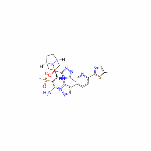 Cc1nnc(C(=O)N2[C@@H]3CC[C@H]2C[C@@H](c2nc4c(-c5ccc(-c6ncc(C)s6)nc5)cnn4c(N)c2S(C)(=O)=O)C3)[nH]1